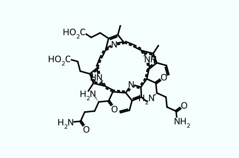 C=CC1=C(C)c2nc1c(C(=O)[C@@H](N)CCC(N)=O)c1[nH]c(cc3nc(cc4[nH]c(c(C=C)c4C)c2C(=O)[C@@H](N)CCC(N)=O)C(C)=C3CCC(=O)O)c(CCC(=O)O)c1C